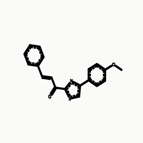 COc1ccc(-c2csc(C(=O)C=Cc3ccccc3)n2)cc1